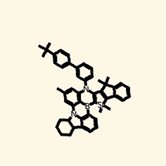 Cc1cc2c3c(c1)N1c4c(cccc4C4CCCCC41)B3C1=C(C3=C(c4ccccc4C3(C)C)[Si]1(C)C)N2c1cccc(-c2ccc(C(C)(C)C)cc2)c1